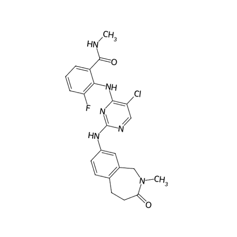 CNC(=O)c1cccc(F)c1Nc1nc(Nc2ccc3c(c2)CN(C)C(=O)CC3)ncc1Cl